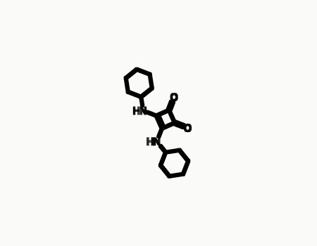 O=c1c(NC2CCCCC2)c(NC2CCCCC2)c1=O